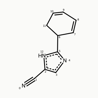 N#Cc1cnc(C2C=CC=CC2)[nH]1